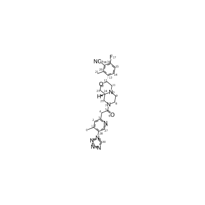 Cc1cc(CC(=O)N2CCN3C[C@@H](c4ccc(F)c(C#N)c4C)OC[C@H]3C2)ncc1-n1cnnn1